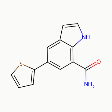 NC(=O)c1cc(-c2cccs2)cc2cc[nH]c12